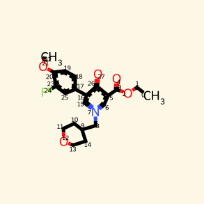 CCOC(=O)c1cn(CC2CCOCC2)cc(-c2ccc(OC)c(F)c2)c1=O